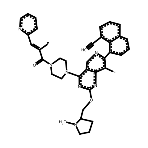 C#Cc1cccc2cccc(-c3ncc4c(N5CCN(C(=O)/C(F)=C/c6ccccn6)CC5)nc(OCC5CCCN5C)nc4c3F)c12